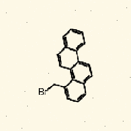 BrCc1cccc2ccc3c4ccccc4ccc3c12